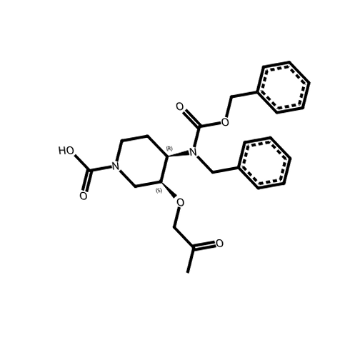 CC(=O)CO[C@H]1CN(C(=O)O)CC[C@H]1N(Cc1ccccc1)C(=O)OCc1ccccc1